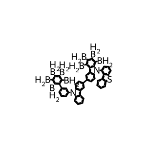 Bc1c(B)c(B)c(-c2cccc(-n3c4ccccc4c4cc(-c5ccc6c(c5)c5c(B)c(B)c(B)c(B)c5n6-c5cccc6sc7ccccc7c56)ccc43)c2)c(B)c1B